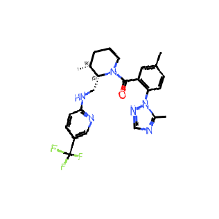 Cc1ccc(-n2ncnc2C)c(C(=O)N2CCC[C@@H](C)[C@H]2CNc2ccc(C(F)(F)F)cn2)c1